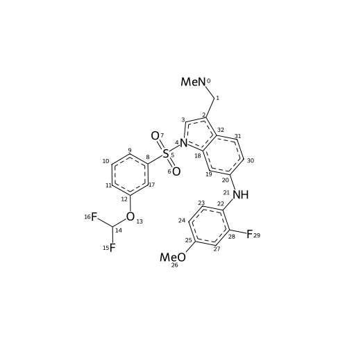 CNCc1cn(S(=O)(=O)c2cccc(OC(F)F)c2)c2cc(Nc3ccc(OC)cc3F)ccc12